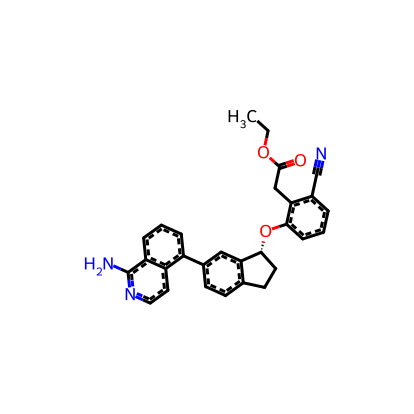 CCOC(=O)Cc1c(C#N)cccc1O[C@@H]1CCc2ccc(-c3cccc4c(N)nccc34)cc21